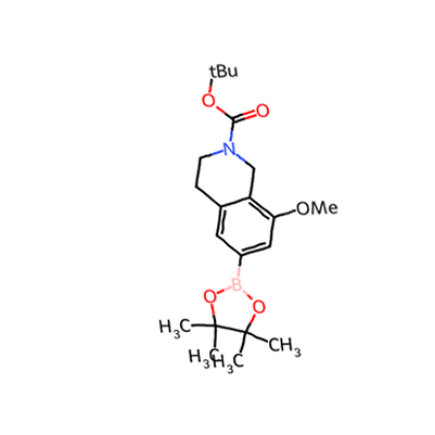 COc1cc(B2OC(C)(C)C(C)(C)O2)cc2c1CN(C(=O)OC(C)(C)C)CC2